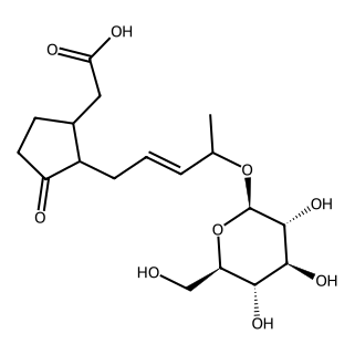 CC(C=CCC1C(=O)CCC1CC(=O)O)O[C@@H]1O[C@H](CO)[C@@H](O)[C@H](O)[C@H]1O